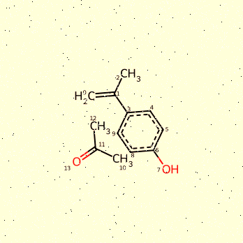 C=C(C)c1ccc(O)cc1.CC(C)=O